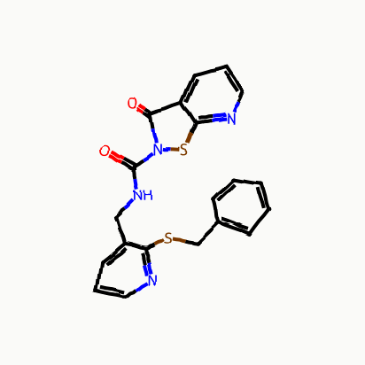 O=C(NCc1cccnc1SCc1ccccc1)n1sc2ncccc2c1=O